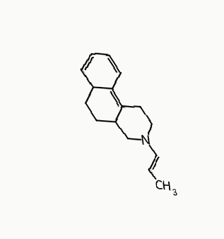 CC=CN1CCC2=C3C=CC=CC3CCC2C1